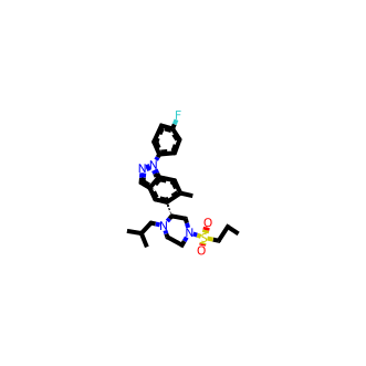 CCCS(=O)(=O)N1CCN(CC(C)C)[C@H](c2cc3cnn(-c4ccc(F)cc4)c3cc2C)C1